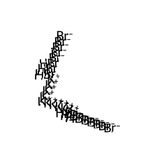 Br.Br.Br.Br.Br.Br.[Br-].[Br-].[Br-].[Br-].[Br-].[Br-].[Br-].[Br-].[Br-].[Br-].[K+].[K+].[K+].[K+].[K+].[K+].[K+].[K+].[K+].[K+]